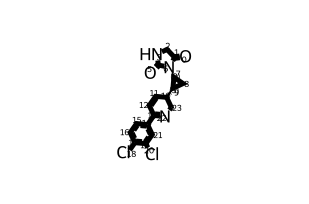 O=C1CNC(=O)N1[C@@H]1C[C@H]1C1C=CC(c2ccc(Cl)c(Cl)c2)=NC1